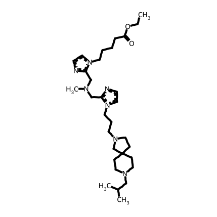 CCOC(=O)CCCCn1ccnc1CN(C)Cc1nccn1CCCN1CCC2(CCN(CC(C)C)CC2)C1